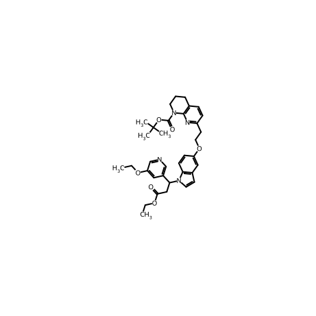 CCOC(=O)CC(c1cncc(OCC)c1)n1ccc2cc(OCCc3ccc4c(n3)N(C(=O)OC(C)(C)C)CCC4)ccc21